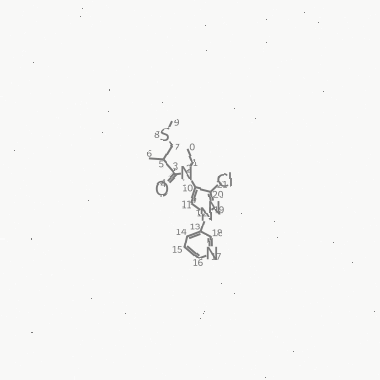 CCN(C(=O)C(C)CSC)c1cn(-c2cccnc2)nc1Cl